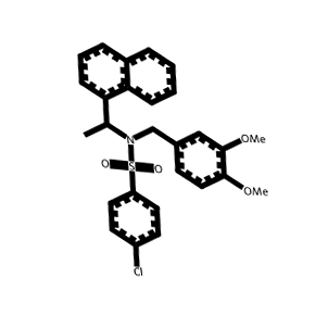 COc1ccc(CN(C(C)c2cccc3ccccc23)S(=O)(=O)c2ccc(Cl)cc2)cc1OC